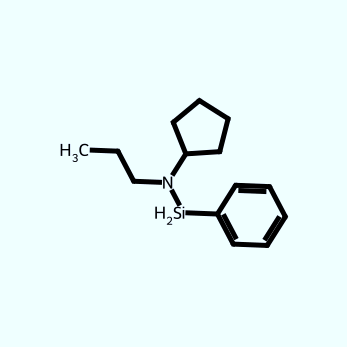 CCCN([SiH2]c1ccccc1)C1CCCC1